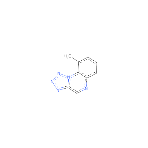 Cc1cccc2ncc3nnnn3c12